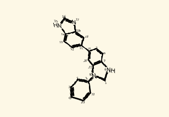 c1ccc(N2CNc3ccc(-c4ccc5[nH]cnc5c4)cc32)cc1